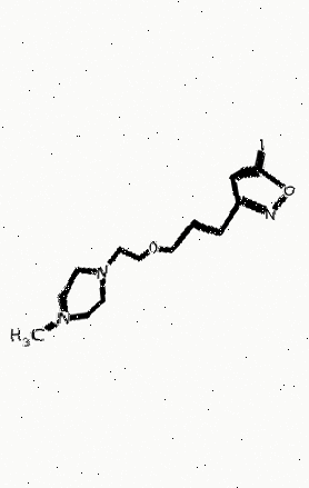 CN1CCN(CCOCCCc2cc(I)on2)CC1